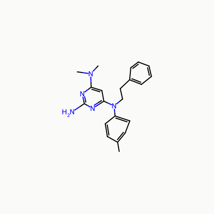 Cc1ccc(N(CCc2ccccc2)c2cc(N(C)C)nc(N)n2)cc1